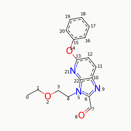 CCOCCn1c(C=O)nc2ccc(Oc3ccccc3)nc21